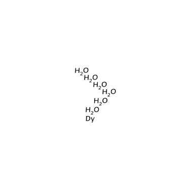 O.O.O.O.O.O.[Dy]